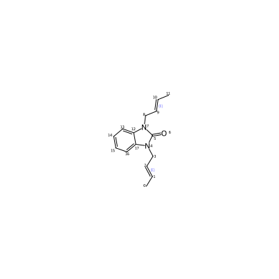 C/C=C/Cn1c(=O)n(C/C=C/C)c2ccccc21